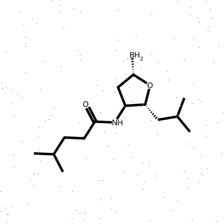 B[C@H]1CC(NC(=O)CCC(C)C)[C@@H](CC(C)C)O1